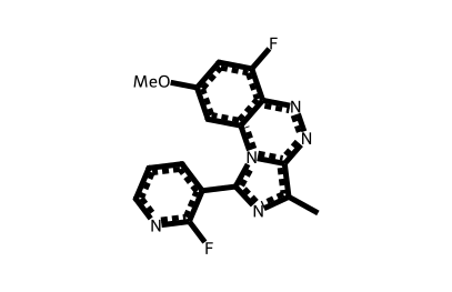 COc1cc(F)c2nnc3c(C)nc(-c4cccnc4F)n3c2c1